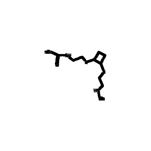 CCCCC(=O)NCCSC1CCC1SCCNC(C)(C)C